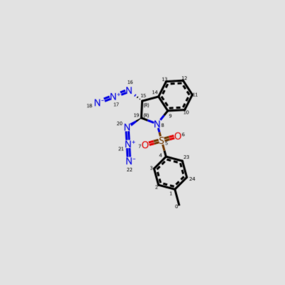 Cc1ccc(S(=O)(=O)N2c3ccccc3[C@@H](N=[N+]=[N-])[C@@H]2N=[N+]=[N-])cc1